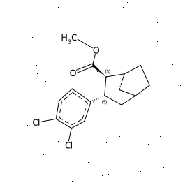 COC(=O)[C@H]1C2CCC(C2)C[C@@H]1c1ccc(Cl)c(Cl)c1